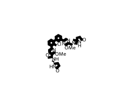 COc1nc(-c2cccc(-c3cccc(-c4cc5c(c(OC)n4)[C@@H](NC[C@@H]4CCC(=O)N4)CO5)c3C)c2Cl)cnc1CN1CC2(CCC(=O)N2)C1